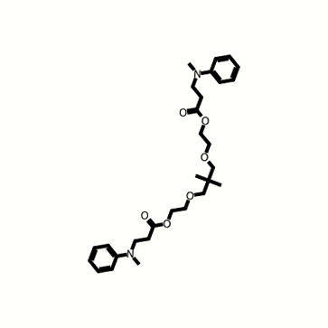 CN(CCC(=O)OCCOCC(C)(C)COCCOC(=O)CCN(C)c1ccccc1)c1ccccc1